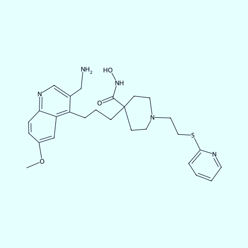 COc1ccc2ncc(CN)c(CCCC3(C(=O)NO)CCN(CCSc4ccccn4)CC3)c2c1